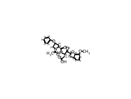 COc1cccc2nc(C(=O)[C@H](CC(=O)O)NC(=O)[C@@H]3C[C@@H](Oc4ccccc4)CN3C(C)=O)oc12